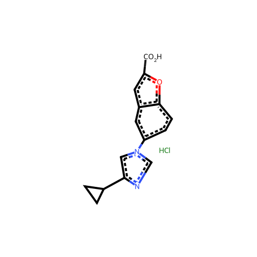 Cl.O=C(O)c1cc2cc(-n3cnc(C4CC4)c3)ccc2o1